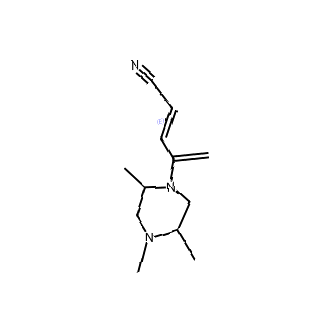 C=C(/C=C/C#N)N1CC(C)N(C)CC1C